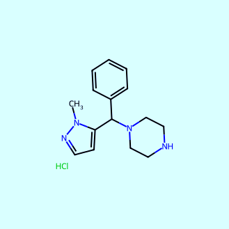 Cl.Cn1nccc1C(c1ccccc1)N1CCNCC1